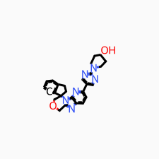 OC1CCN(c2ncc(-c3ccc4nc5n(c4n3)C3(CCc4ccccc43)COC5)cn2)CC1